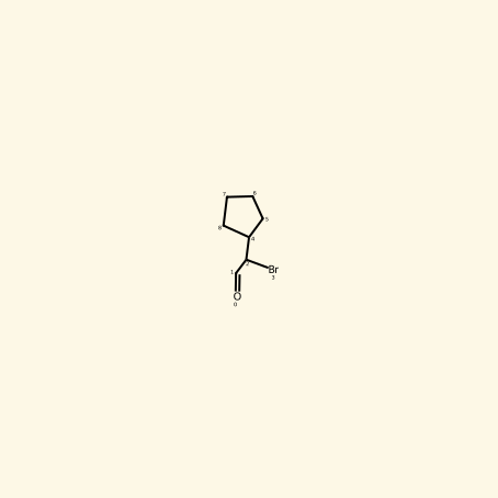 O=CC(Br)C1CCCC1